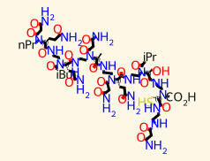 CCCN(C(=O)CC(N)=O)[C@@H](CCC(N)=O)C(=O)NCCN(C(=O)C(C)CC)[C@@H](CCC(N)=O)C(=O)NCCN(C(=O)CC(N)=O)[C@@H](C)C(=O)NCCN(C(=O)CC(N)=O)[C@@H](CCC(N)=O)C(=O)NCCN(C(=O)CC(C)C)[C@@H](CO)C(=O)NCCN(C(=O)O)[C@@H](CS)C(=O)NCCNC(=O)CC(N)=O